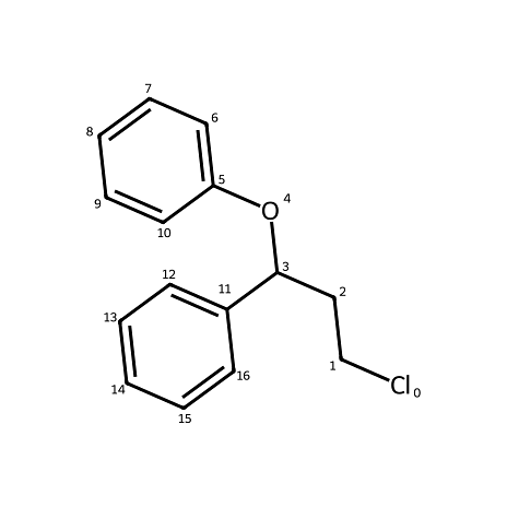 ClCCC(Oc1ccccc1)c1ccccc1